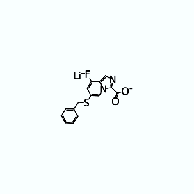 O=C([O-])c1ncc2c(F)cc(SCc3ccccc3)cn12.[Li+]